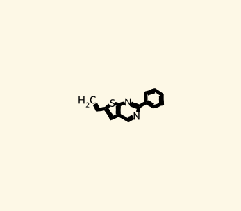 C=Cc1cc2cnc(-c3ccccc3)nc2s1